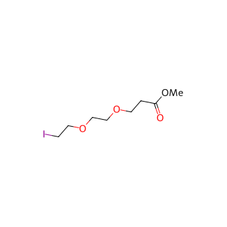 COC(=O)CCOCCOCCI